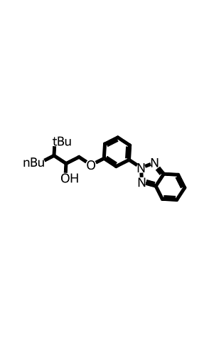 CCCCC(C(O)COc1cccc(-n2nc3ccccc3n2)c1)C(C)(C)C